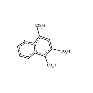 O=C(O)c1cc(C(=O)O)c2ncccc2c1C(=O)O